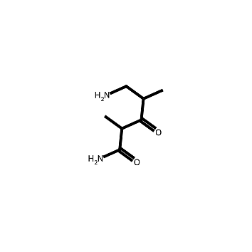 CC(CN)C(=O)C(C)C(N)=O